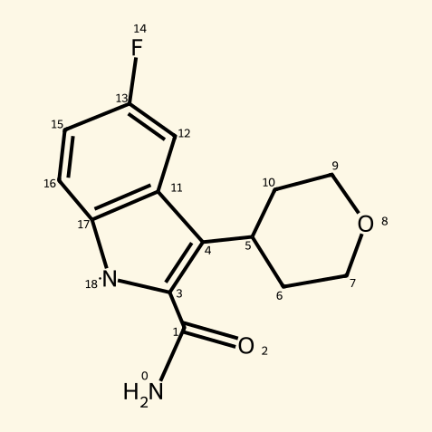 NC(=O)C1=C(C2CCOCC2)c2cc(F)ccc2[N]1